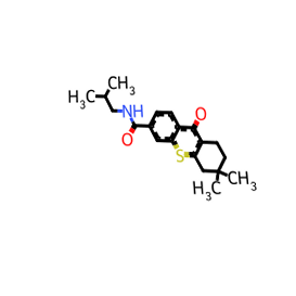 CC(C)CNC(=O)c1ccc2c(=O)c3c(sc2c1)CC(C)(C)CC3